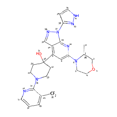 C[C@@H]1COCCN1c1cc(C2(O)CCN(c3ncccc3C(F)(F)F)CC2)c2cnn(-c3cc[nH]n3)c2n1